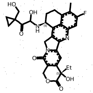 CC[C@@]1(O)C(=O)OCc2c1cc1n(c2=O)Cc2c-1nc1cc(F)c(C)c3c1c2[C@@H](NC(O)C(=O)C1(CO)CC1)CC3